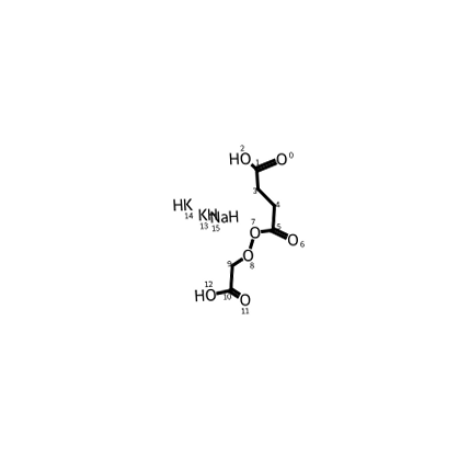 O=C(O)CCC(=O)OOCC(=O)O.[KH].[KH].[NaH]